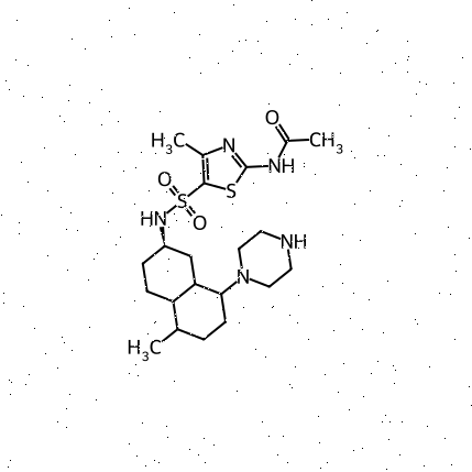 CC(=O)Nc1nc(C)c(S(=O)(=O)N[C@@H]2CCC3C(C)CCC(N4CCNCC4)C3C2)s1